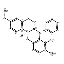 COc1ccc2c(c1O)[C@@H](c1ccccc1)N1CCc3cc(CO)ccc3[C@@H]1C2